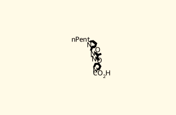 CCCCCc1ccc(Oc2ncnc(OC3CCN(C(=O)O)CC3)c2C)c(C)n1